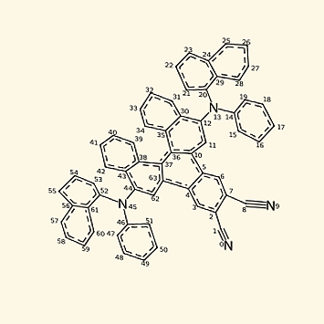 N#Cc1cc2c(cc1C#N)c1cc(N(c3ccccc3)c3cccc4ccccc34)c3ccccc3c1c1c3ccccc3c(N(c3ccccc3)c3cccc4ccccc34)cc21